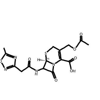 CC(=O)OCC1=C(C(=O)O)N2C(=O)C(NC(=O)Cc3noc(C)n3)[C@H]2SC1